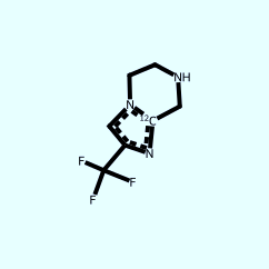 FC(F)(F)c1cn2[12c](n1)CNCC2